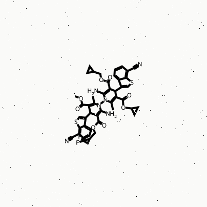 COC(=O)C1=C(C)N(N2C(C)=C(C(=O)OC3CC3)C(c3csc4c(C#N)cccc34)C(C(=O)OCC3CC3)=C2N)C(N)=C(C(=O)OCC2CC2(F)F)C1c1csc2c(C#N)cccc12